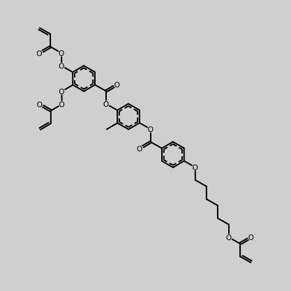 C=CC(=O)OCCCCCCOc1ccc(C(=O)Oc2ccc(OC(=O)c3ccc(OOC(=O)C=C)c(OOC(=O)C=C)c3)c(C)c2)cc1